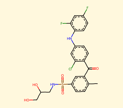 Cc1ccc(S(=O)(=O)NCC(O)CO)cc1C(=O)c1ccc(Nc2ccc(F)cc2F)cc1Cl